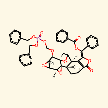 CC(C)[C@]12O[C@H]1[C@@H]1O[C@@]13[C@@]1(C)CCC4=C(/C(=C(\OC(=O)c5ccccc5)c5ccccc5)OC4=O)[C@@H]1C1C[C@@]3(O1)[C@@H]2OCOP(=O)(OCc1ccccc1)OCc1ccccc1